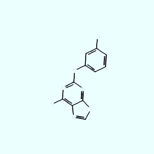 Nc1nc(Nc2cccc(Cl)c2)nc2[nH]cnc12